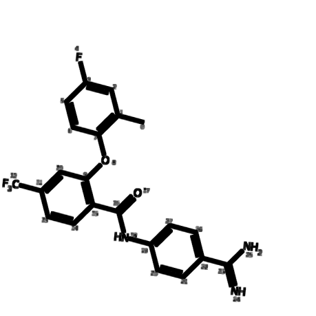 Cc1cc(F)ccc1Oc1cc(C(F)(F)F)ccc1C(=O)Nc1ccc(C(=N)N)cc1